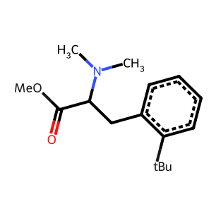 COC(=O)C(Cc1ccccc1C(C)(C)C)N(C)C